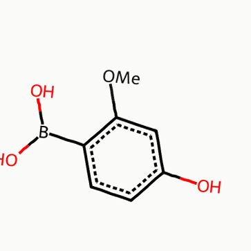 COc1cc(O)ccc1B(O)O